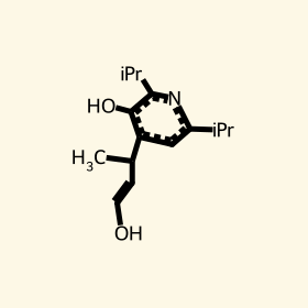 CC(C)c1cc(C(C)C=CO)c(O)c(C(C)C)n1